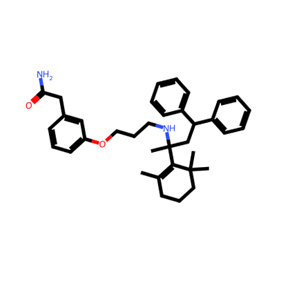 CC1=C(C(C)(CC(c2ccccc2)c2ccccc2)NCCCOc2cccc(CC(N)=O)c2)C(C)(C)CCC1